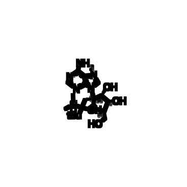 C[SiH](C)C(O)(C[C@@]1(n2cnc3c(N)ncnc32)O[C@H](CO)[C@@H](O)[C@H]1O)C(C)(C)C